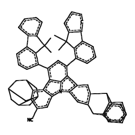 CC1(C)c2ccccc2-c2cccc(-c3cc(-c4cccc5c4C(C)(C)c4ccccc4-5)c4c5c6c(c(C#N)cc5n5c7cc8c(cc7c3c45)C3c4ccccc4C8c4ccccc43)C3CC4CC(C3)CC6C4)c21